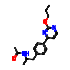 CCCOc1nccc(-c2ccc(CC(C)NC(C)=O)cc2)n1